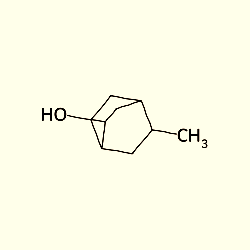 CC1CC2CCC1CC2O